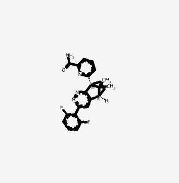 CC1(C)[C@H]2CC[C@]1(c1cccc(C(N)=O)n1)c1nnc(-c3c(F)cccc3F)cc12